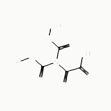 C=C(C)C(=O)N(C(=O)OC(C)(C)C)C(=O)OC(C)(C)C